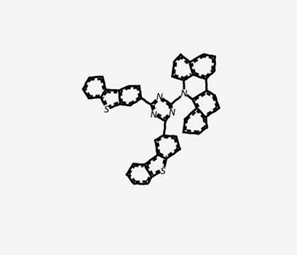 c1ccc2c3c(ccc2c1)-c1cccc2cccc(c12)N3c1nc(-c2ccc3c(c2)sc2ccccc23)nc(-c2ccc3sc4ccccc4c3c2)n1